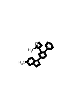 Cc1ccc2c(c1)C=CC2c1ccc(-c2ccccc2)c(-c2ccoc2C)c1